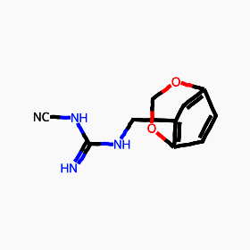 N#CNC(=N)NCc1cc2ccc1OCO2